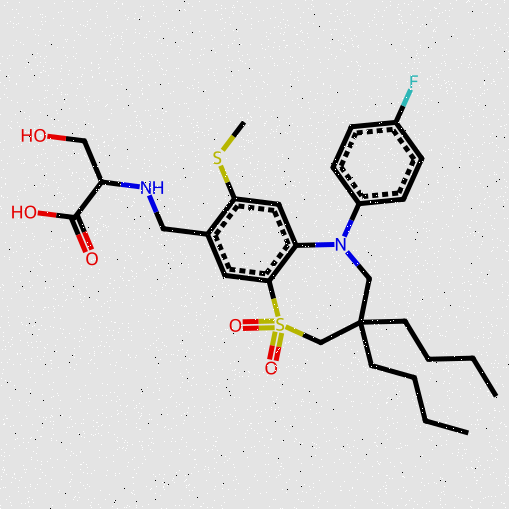 CCCCC1(CCCC)CN(c2ccc(F)cc2)c2cc(SC)c(CNC(CO)C(=O)O)cc2S(=O)(=O)C1